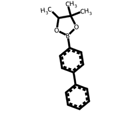 CC1OB(c2ccc(-c3ccccc3)cc2)OC1(C)C